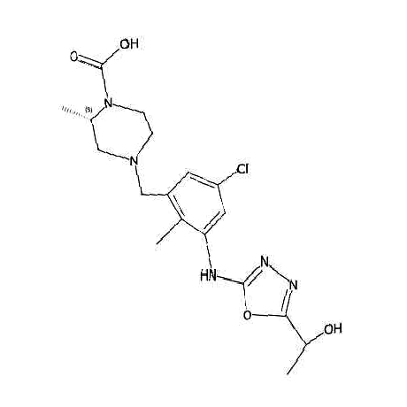 Cc1c(CN2CCN(C(=O)O)[C@@H](C)C2)cc(Cl)cc1Nc1nnc(C(C)O)o1